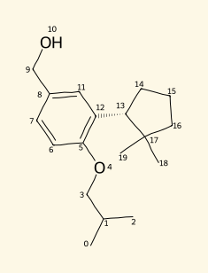 CC(C)COc1ccc(CO)cc1[C@@H]1CCCC1(C)C